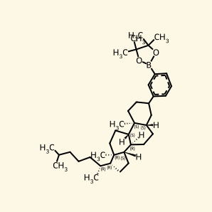 CC(C)CCC[C@@H](C)[C@H]1CC[C@H]2[C@@H]3CC[C@H]4CC(c5cccc(B6OC(C)(C)C(C)(C)O6)c5)CC[C@]4(C)[C@H]3CC[C@]12C